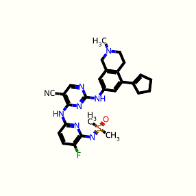 CN1CCc2c(cc(Nc3ncc(C#N)c(Nc4ccc(F)c(N=S(C)(C)=O)n4)n3)cc2C2=CCCC2)C1